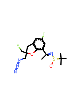 C/C(=N\[S@+]([O-])C(C)(C)C)c1cc(F)cc2c1OC(CF)(CN=[N+]=[N-])C2